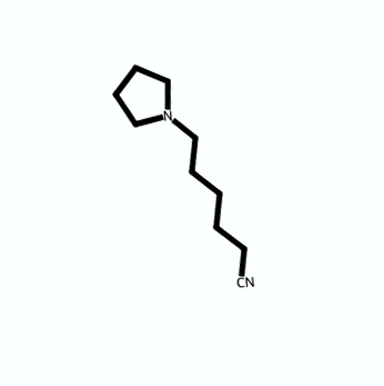 N#CCCCCCN1CCCC1